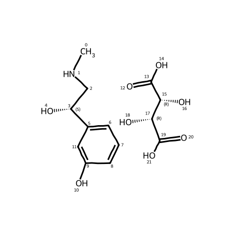 CNC[C@@H](O)c1cccc(O)c1.O=C(O)[C@H](O)[C@@H](O)C(=O)O